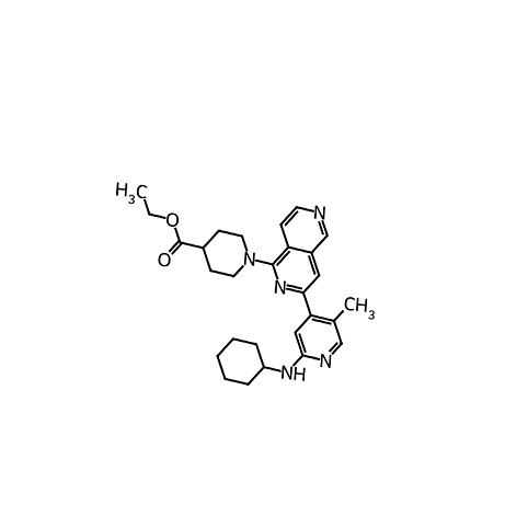 CCOC(=O)C1CCN(c2nc(-c3cc(NC4CCCCC4)ncc3C)cc3cnccc23)CC1